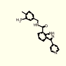 Cc1ccc(CNC(=O)c2cccc3c(-c4ccncc4)n[nH]c23)cc1P